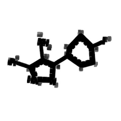 CC(C)c1[nH]nc(-c2ccc(F)cc2)c1N